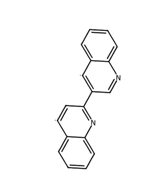 [c]1c(-c2c[c]c3ccccc3n2)cnc2ccccc12